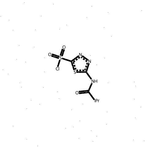 CC(C)C(=O)Nc1nnc(S(=O)(=O)Cl)s1